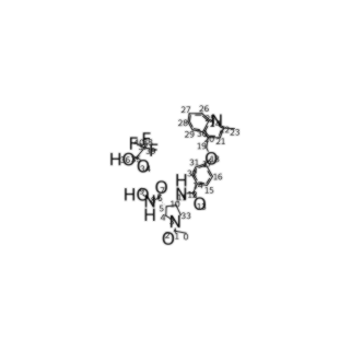 CC(=O)N1C[C@H](C(=O)NO)[C@H](NC(=O)c2ccc(OCc3cc(C)nc4ccccc34)cc2)C1.O=C(O)C(F)(F)F